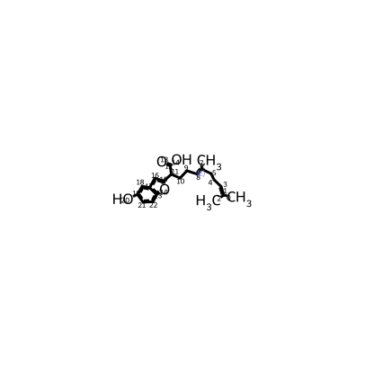 CC(C)=CCC/C(C)=C/CCC(C(=O)O)c1cc2cc(O)ccc2o1